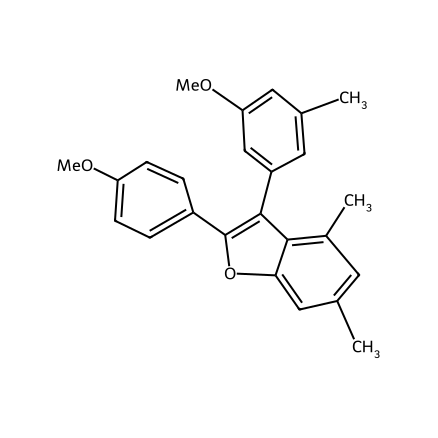 COc1ccc(-c2oc3cc(C)cc(C)c3c2-c2cc(C)cc(OC)c2)cc1